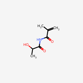 C=C(C)C(=O)NC(=O)C(C)O